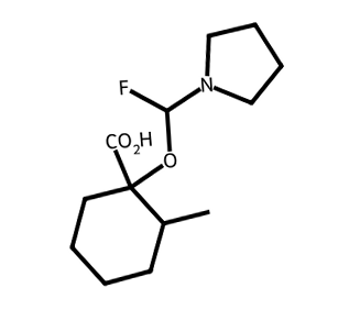 CC1CCCCC1(OC(F)N1CCCC1)C(=O)O